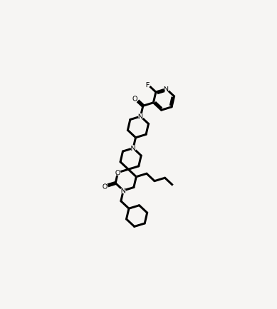 CCCCC1CN(CC2CCCCC2)C(=O)OC12CCN(C1CCN(C(=O)c3cccnc3F)CC1)CC2